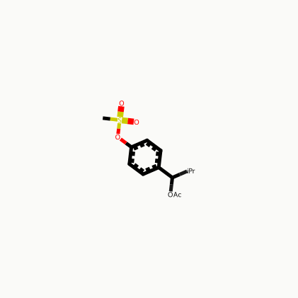 CC(=O)OC(c1ccc(OS(C)(=O)=O)cc1)C(C)C